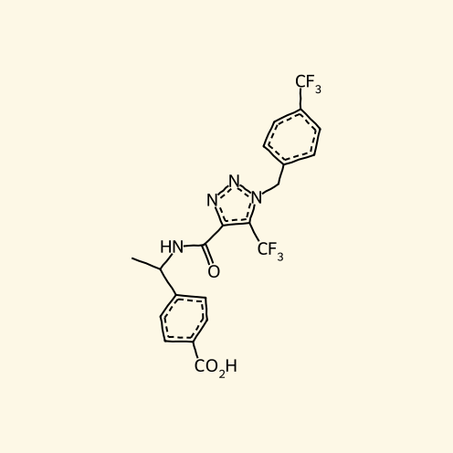 CC(NC(=O)c1nnn(Cc2ccc(C(F)(F)F)cc2)c1C(F)(F)F)c1ccc(C(=O)O)cc1